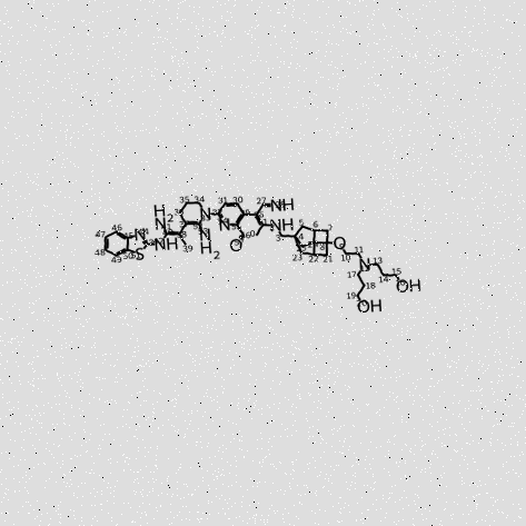 C/C(NCC12CC3CC4(OCCN(CCCO)CCCO)CC(C1)C34C2)=C(/C=N)c1ccc(N2CCCC(/C(C)=C(\N)Nc3nc4ccccc4s3)=C2N)nc1C=O